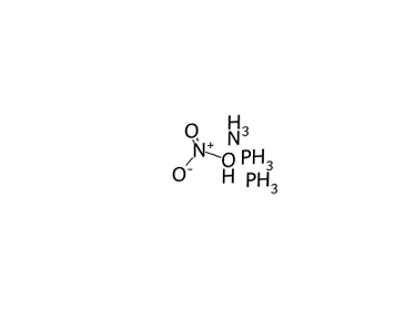 N.O=[N+]([O-])O.P.P